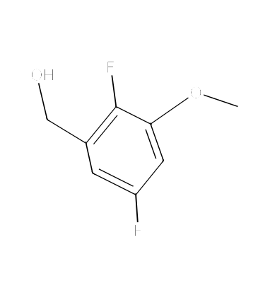 COc1cc(F)cc(CO)c1F